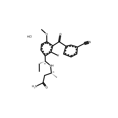 CC[C@@H](N[C@H](C)CC(N)=O)c1ccc(OC)c(C(=O)c2cccc(C#N)c2)c1F.Cl